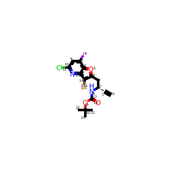 C#C[C@@H](Cc1oc2c(I)cc(Cl)nc2c1Br)NC(=O)OC(C)(C)C